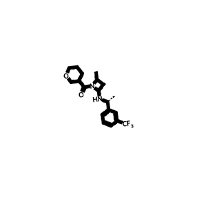 CC1CC(N[C@H](C)c2cccc(C(F)(F)F)c2)N1C(=O)C1CCCOC1